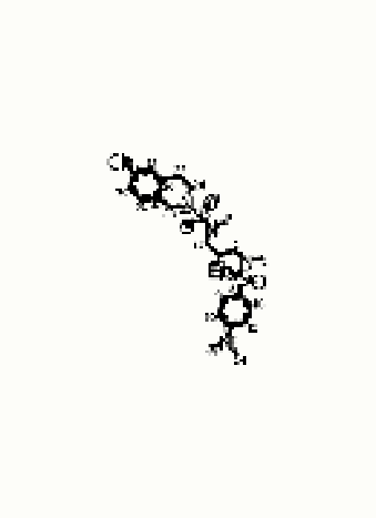 CC[C@@H](CN(C)S(=O)(=O)c1ccc(N(C)C)cc1)CN(C)S(=O)(=O)N1CCc2cc(Cl)ccc2C1